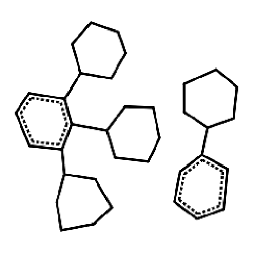 c1cc(C2CCCCC2)c(C2CCCCC2)c(C2CCCCC2)c1.c1ccc(C2CCCCC2)cc1